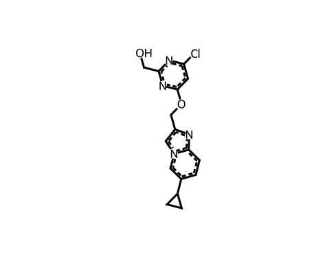 OCc1nc(Cl)cc(OCc2cn3cc(C4CC4)ccc3n2)n1